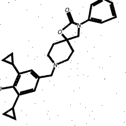 O=C1OC2(CCN(Cc3cc(C4CC4)c(Cl)c(C4CC4)c3)CC2)CN1c1ccccc1